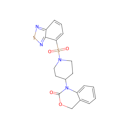 O=C1OCc2ccccc2N1C1CCN(S(=O)(=O)c2cccc3nsnc23)CC1